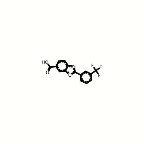 O=C(O)c1ccc2nc(-c3cccc(C(F)(F)F)c3)oc2c1